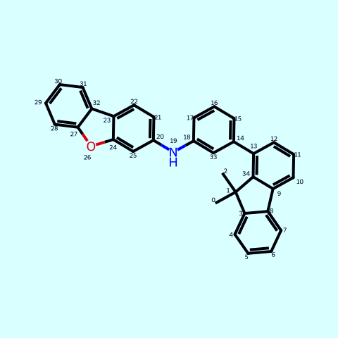 CC1(C)c2ccccc2-c2cccc(-c3cccc(Nc4ccc5c(c4)oc4ccccc45)c3)c21